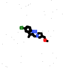 COCC1CCN(Cc2[nH]c3ccc(Cl)cc3c2C)C1